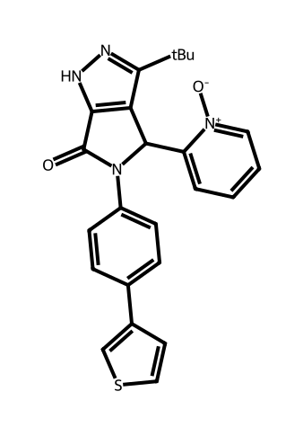 CC(C)(C)c1n[nH]c2c1C(c1cccc[n+]1[O-])N(c1ccc(-c3ccsc3)cc1)C2=O